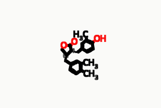 Cc1ccc(C[C@H]2COC(=O)[C@@H]2Cc2ccc(O)c(C)c2)cc1C